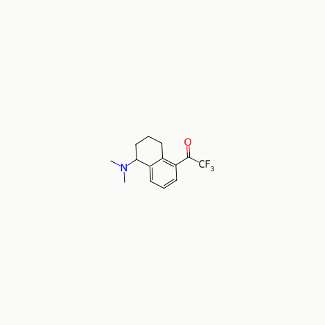 CN(C)C1CCCc2c(C(=O)C(F)(F)F)cccc21